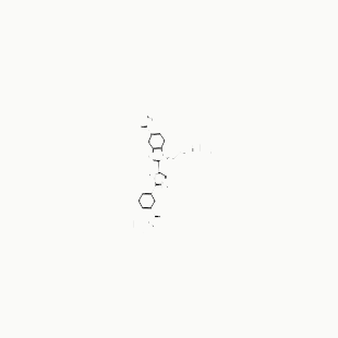 CNC(=O)c1ccc2c(c1)nc(-c1c[nH]c(-c3cccc(C(N)=O)c3)n1)n2CCOC